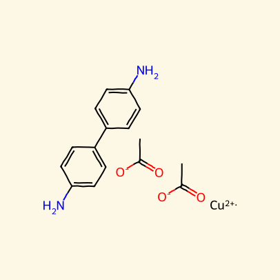 CC(=O)[O-].CC(=O)[O-].Nc1ccc(-c2ccc(N)cc2)cc1.[Cu+2]